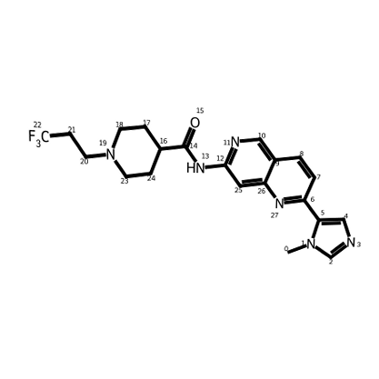 Cn1cncc1-c1ccc2cnc(NC(=O)C3CCN(CCC(F)(F)F)CC3)cc2n1